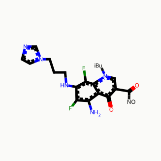 CCC(C)n1cc(C(=O)N=O)c(=O)c2c(N)c(F)c(NCCCn3ccnc3)c(F)c21